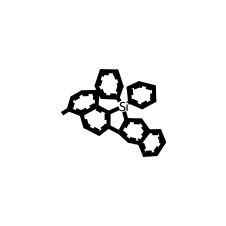 Cc1cccc2c3c(ccc12)-c1cc2ccccc2cc1[Si]3(c1ccccc1)c1ccccc1